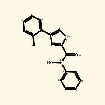 Cc1ccccc1-c1c[nH]c(C(=O)N(O)c2ccccc2)c1